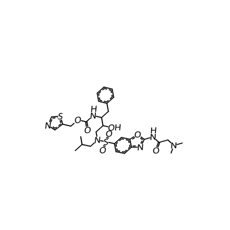 CC(C)CN(CC(O)C(Cc1ccccc1)NC(=O)OCc1cncs1)S(=O)(=O)c1ccc2nc(NC(=O)CN(C)C)oc2c1